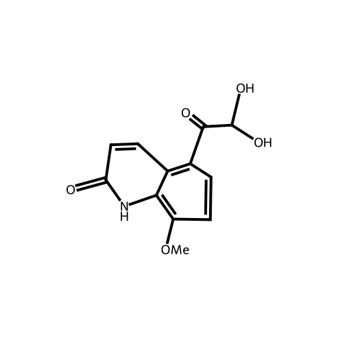 COc1ccc(C(=O)C(O)O)c2ccc(=O)[nH]c12